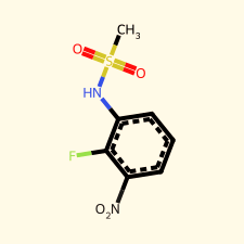 CS(=O)(=O)Nc1cccc([N+](=O)[O-])c1F